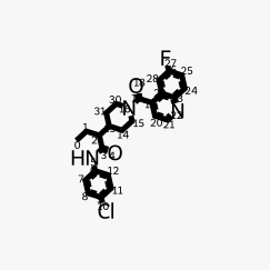 CCC(C(=O)Nc1ccc(Cl)cc1)C1CCN(C(=O)c2ccnc3ccc(F)cc23)CC1